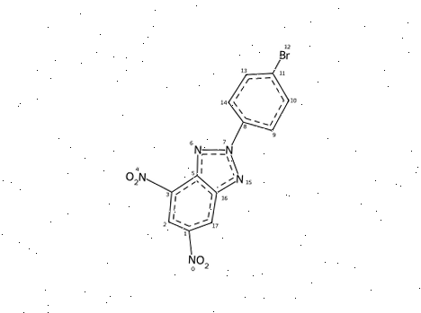 O=[N+]([O-])c1cc([N+](=O)[O-])c2nn(-c3ccc(Br)cc3)nc2c1